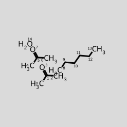 CC(C)=O.CC(C)=O.CCCCCC.O